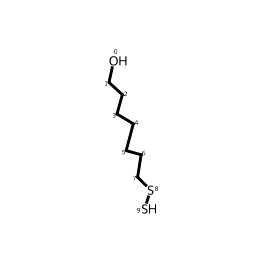 OCCCCCCCSS